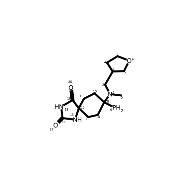 CN(CC1CCOC1)C1(P)CCC2(CC1)NC(=O)NC2=O